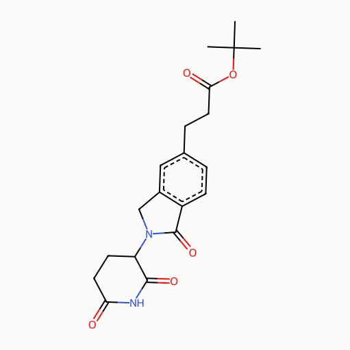 CC(C)(C)OC(=O)CCc1ccc2c(c1)CN(C1CCC(=O)NC1=O)C2=O